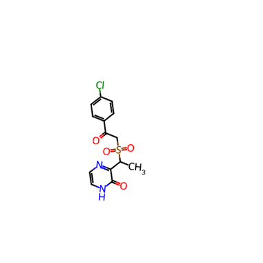 CC(c1ncc[nH]c1=O)S(=O)(=O)CC(=O)c1ccc(Cl)cc1